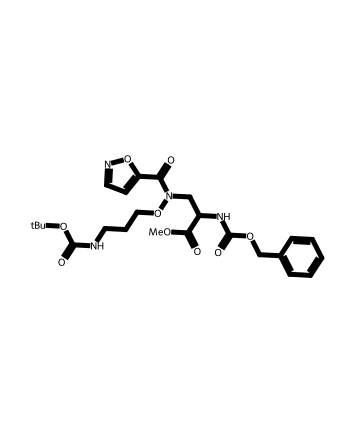 COC(=O)C(CN(OCCCNC(=O)OC(C)(C)C)C(=O)c1ccno1)NC(=O)OCc1ccccc1